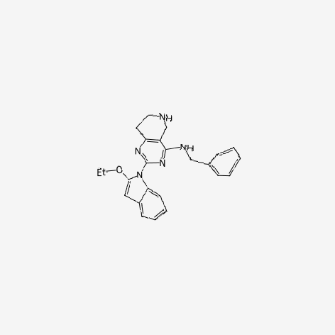 CCOc1cc2ccccc2n1-c1nc2c(c(NCc3ccccc3)n1)CNCC2